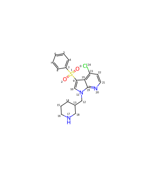 O=S(=O)(c1ccccc1)c1cn(CC2CCCNC2)c2nccc(Cl)c12